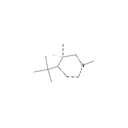 CN1CCC(C(C)(C)C)C(C)(C)C1